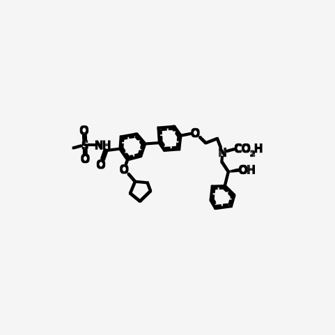 CS(=O)(=O)NC(=O)c1ccc(-c2ccc(OCCN(C[C@@H](O)c3ccccc3)C(=O)O)cc2)cc1OC1CCCC1